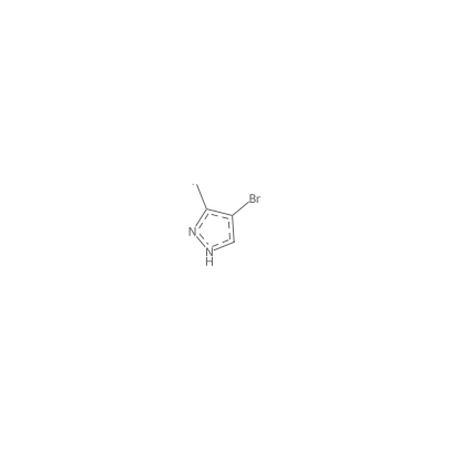 [CH2]c1n[nH]cc1Br